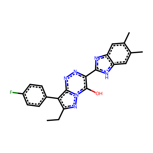 CCc1nn2c(O)c(-c3nc4cc(C)c(C)cc4[nH]3)nnc2c1-c1ccc(F)cc1